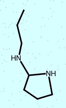 CCCNC1CCCN1